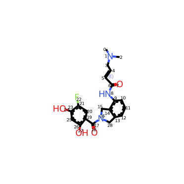 CN(C)C/C=C/C(=O)Nc1cccc2c1CN(C(=O)c1cc(F)c(O)cc1O)C2